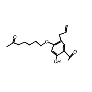 C=CCc1cc(C(C)=O)c(O)cc1OCCCCCC(C)=O